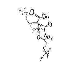 CSCC1=C(C(=O)O)N2C(=O)C(NC(=O)CSC(F)(F)F)[C@@H]2SC1